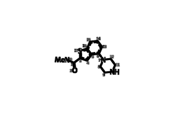 CNC(=O)c1cc2c(N3CCNCC3)cccc2s1